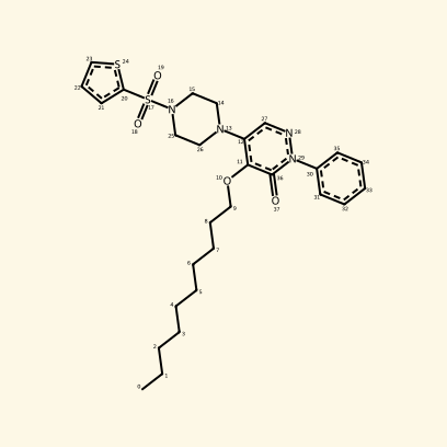 CCCCCCCCCCOc1c(N2CCN(S(=O)(=O)c3cccs3)CC2)cnn(-c2ccccc2)c1=O